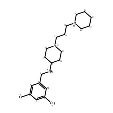 Oc1cc(Cl)cc(CNC2CCN(CCCN3CCCCC3)CC2)c1